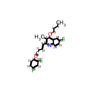 CCCCOc1c(C)c(C=CCCOc2ccc(F)cc2F)nc2ccc(F)cc12